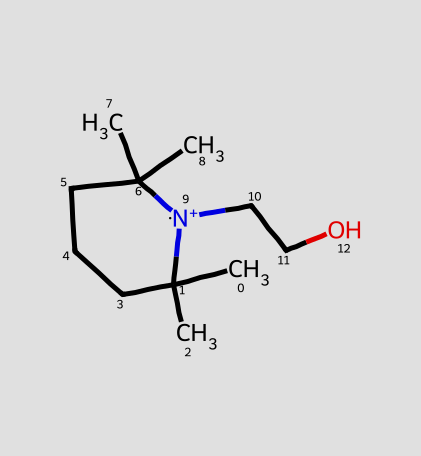 CC1(C)CCCC(C)(C)[N+]1CCO